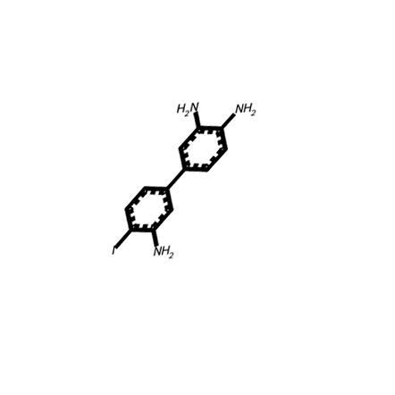 Nc1ccc(-c2ccc(I)c(N)c2)cc1N